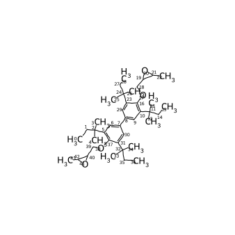 CCC(C)(C)c1cc(-c2cc(C(C)(C)CC)c(OCC3OC3C)c(C(C)(C)CC)c2)cc(C(C)(C)CC)c1OCC1OC1C